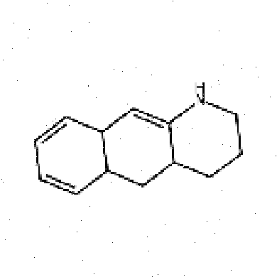 C1=CC2C=C3NCCCC3CC2C=C1